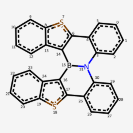 c1ccc2c(c1)-c1sc3ccccc3c1B1c3c(sc4ccccc34)-c3ccccc3N12